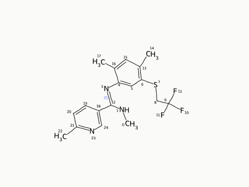 CN/C(=N\c1cc(SCC(F)(F)F)c(C)cc1C)c1ccc(C)nc1